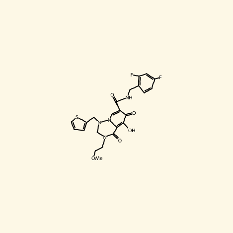 COCCN1CN(Cc2cccs2)n2cc(C(=O)NCc3ccc(F)cc3F)c(=O)c(O)c2C1=O